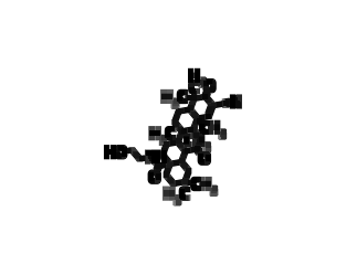 CC1(C)CC[C@]2(C(=O)NCCO)CC[C@]3(C)C(C(=O)C=C4[C@@]5(C)C=C(C#N)C(=O)C(C)(C)C5CC[C@]43C)C2C1